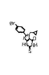 O=c1[nH]c(=S)[nH]c2nc(-c3ccc(Br)cc3)n(CC3CC3)c12